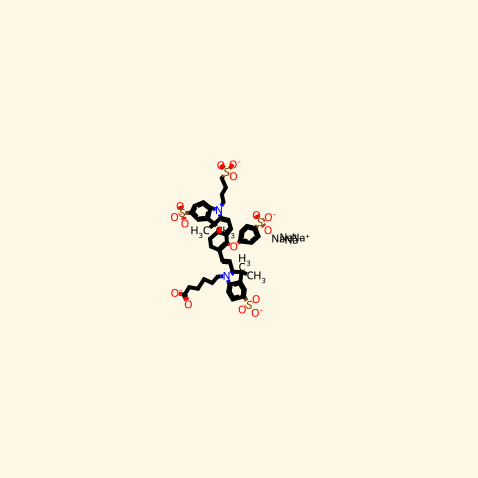 CC1(C)C(/C=C/C2=C(Oc3ccc(S(=O)(=O)[O-])cc3)C(=C/C=C3/N(CCCCS(=O)(=O)[O-])c4ccc(S(=O)(=O)[O-])cc4C3(C)C)/CCC2)=[N+](CCCCCC(=O)[O-])c2ccc(S(=O)(=O)[O-])cc21.[Na+].[Na+].[Na+].[Na+]